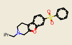 CC(C)CN1CCc2c(oc3cc(S(=O)(=O)c4ccccc4)ccc23)C1